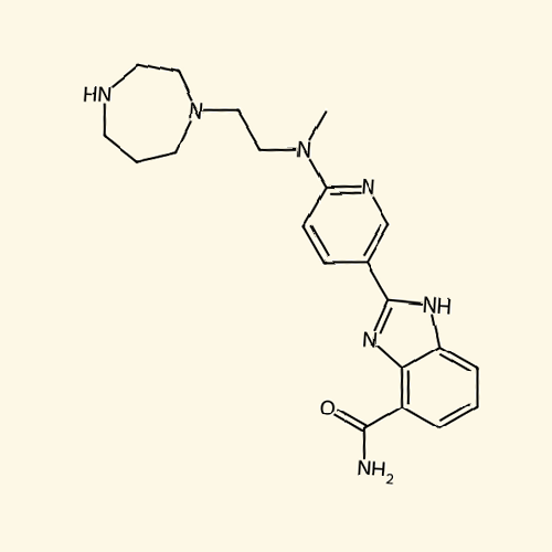 CN(CCN1CCCNCC1)c1ccc(-c2nc3c(C(N)=O)cccc3[nH]2)cn1